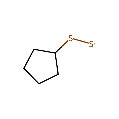 [S]SC1CCCC1